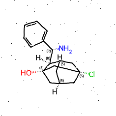 N[C@@H](c1ccccc1)[C@H]1[C@H]2C[C@H]3C[C@](Cl)(C2)C[C@@]1(O)C3